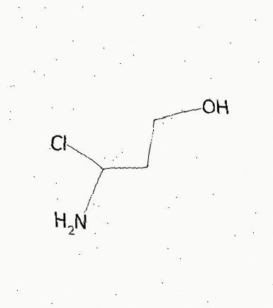 NC(Cl)CCO